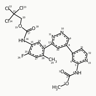 COC(=O)Nc1cc(-c2cnnc(-c3cc(NC(=O)OCC(Cl)(Cl)Cl)c(F)cc3C)c2)ccn1